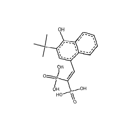 CC(C)(C)c1cc(C=C(P(=O)(O)O)P(=O)(O)O)c2ccccc2c1O